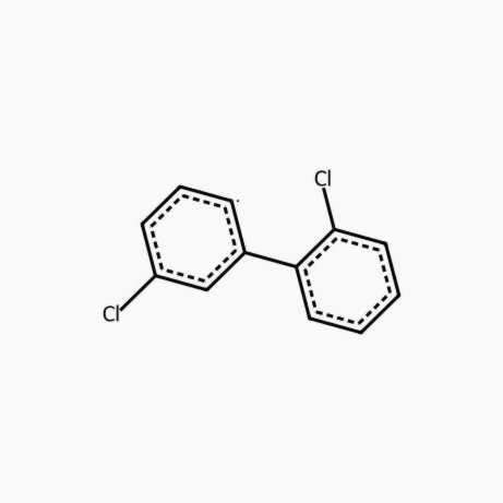 Clc1cc[c]c(-c2ccccc2Cl)c1